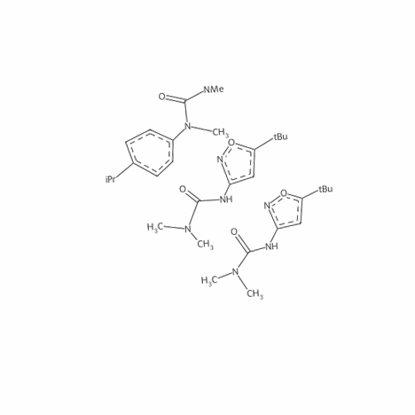 CN(C)C(=O)Nc1cc(C(C)(C)C)on1.CN(C)C(=O)Nc1cc(C(C)(C)C)on1.CNC(=O)N(C)c1ccc(C(C)C)cc1